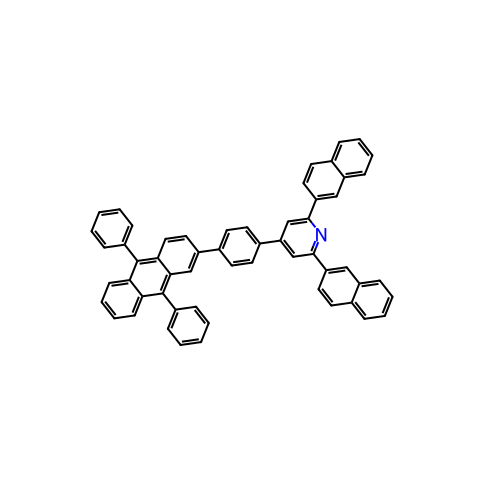 c1ccc(-c2c3ccccc3c(-c3ccccc3)c3cc(-c4ccc(-c5cc(-c6ccc7ccccc7c6)nc(-c6ccc7ccccc7c6)c5)cc4)ccc23)cc1